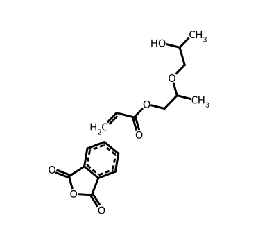 C=CC(=O)OCC(C)OCC(C)O.O=C1OC(=O)c2ccccc21